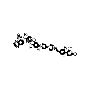 CCc1cc(Nc2ncc(Br)c(Nc3ccc4nccnc4c3P(C)(C)=O)n2)c(OC)cc1N1CCC(N2CCN(CCc3cc(F)c(C4CCC(=O)NC4=O)c(F)c3)CC2)CC1